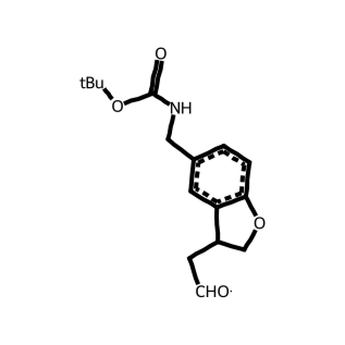 CC(C)(C)OC(=O)NCc1ccc2c(c1)C(C[C]=O)CO2